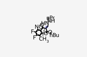 CCCCOC(=O)/C(=C/NNCCC)C(=O)c1c(F)c(C)c(F)c(F)c1[N+](=O)[O-]